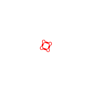 O1OOO1